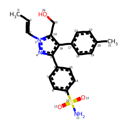 CC=Cn1nc(-c2ccc(S(N)(=O)=O)cc2)c(-c2ccc(C)cc2)c1CO